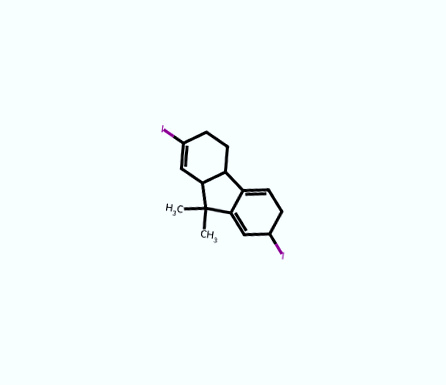 CC1(C)C2=CC(I)CC=C2C2CCC(I)=CC21